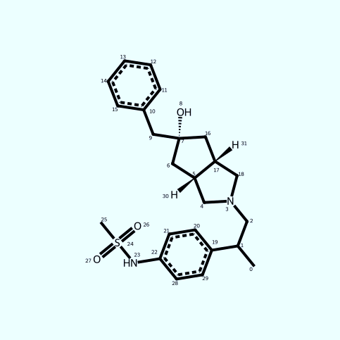 CC(CN1C[C@@H]2C[C@@](O)(Cc3ccccc3)C[C@@H]2C1)c1ccc(NS(C)(=O)=O)cc1